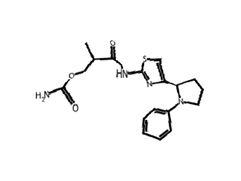 CC(COC(N)=O)C(=O)Nc1nc([C@H]2CCCN2c2ccccc2)cs1